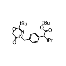 CC(C)C(C(=O)OC(C)(C)C)c1ccc(CN2N=C(C(C)(C)C)OCC2=O)cc1